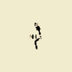 CCSC#N.N